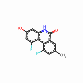 Cc1cc(F)c2c(c1)c(=O)[nH]c1cc(O)cc(F)c12